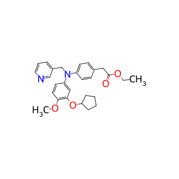 CCOC(=O)Cc1ccc(N(Cc2cccnc2)c2ccc(OC)c(OC3CCCC3)c2)cc1